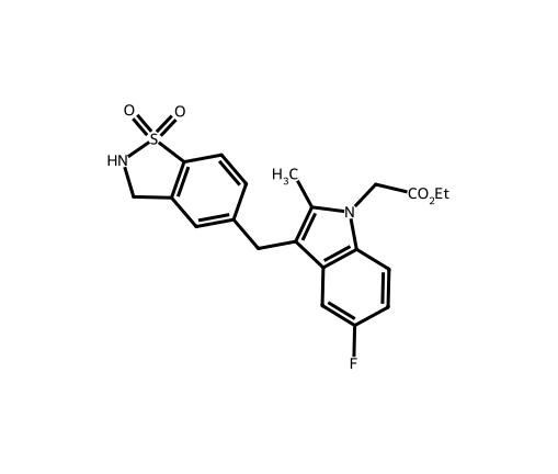 CCOC(=O)Cn1c(C)c(Cc2ccc3c(c2)CNS3(=O)=O)c2cc(F)ccc21